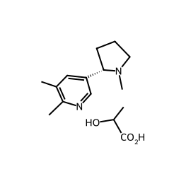 CC(O)C(=O)O.Cc1cc([C@@H]2CCCN2C)cnc1C